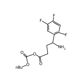 CCCCOC(=O)OC(=O)CCC(N)c1cc(F)c(F)cc1F